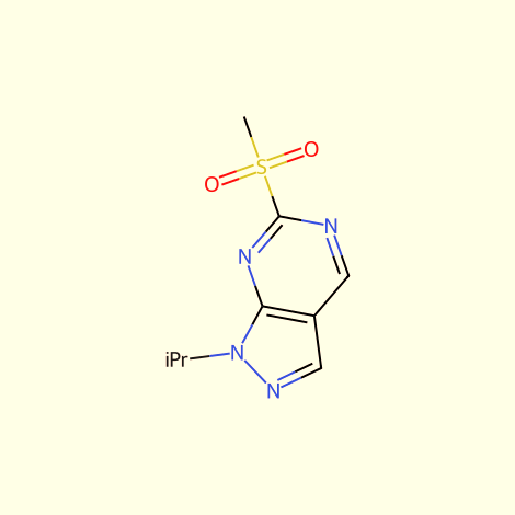 CC(C)n1ncc2cnc(S(C)(=O)=O)nc21